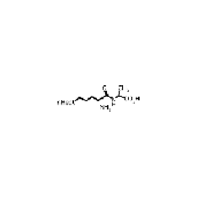 CCCCCCCCCCCC(=O)NC(C)C(=O)O.N